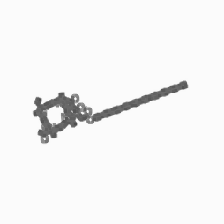 C#CC#CC#CC#CC#CC#CC#CC#CC#CC#COC(=O)CC[C@@H]1c2nc(cc3[nH]c(cc4nc(cc5[nH]c6c(c5C)C(=O)C(C(=O)OC)c26)[C@H](CC)C4C)c(C(C)=O)c3C)C1C